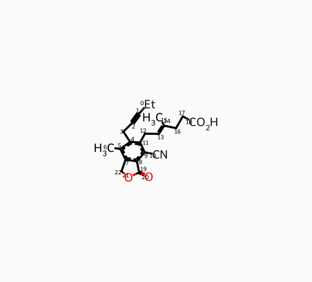 CCC#CCc1c(C)c2c(c(C#N)c1C/C=C(\C)CCC(=O)O)C(=O)OC2